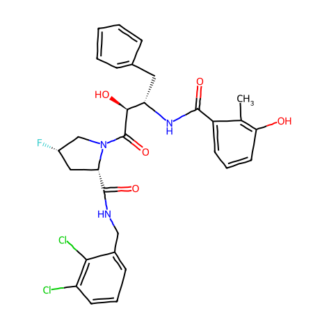 Cc1c(O)cccc1C(=O)N[C@@H](Cc1ccccc1)[C@H](O)C(=O)N1C[C@@H](F)C[C@H]1C(=O)NCc1cccc(Cl)c1Cl